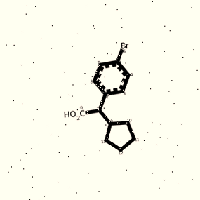 O=C(O)C(c1ccc(Br)cc1)C1CCCC1